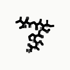 CC[C@H](C)C([C@@H](CC(=O)N1CCC[C@H]1[C@H](OC)[C@@H](C)C(N)=O)OC)N(C)C(=O)CNC(=O)[C@@H](NC)C(C)C